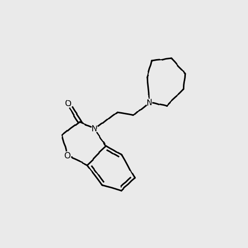 O=C1COc2ccccc2N1CCN1CCCCCC1